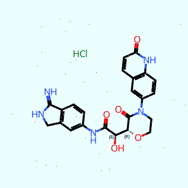 Cl.N=C1NCc2cc(NC(=O)[C@H](O)[C@H]3OCCN(c4ccc5[nH]c(=O)ccc5c4)C3=O)ccc21